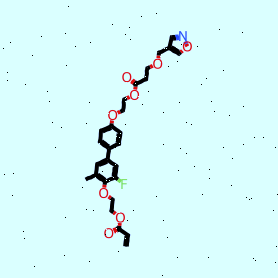 C=CC(=O)OCCOc1c(C)cc(-c2ccc(OCCOC(=O)CCOCc3cnoc3)cc2)cc1F